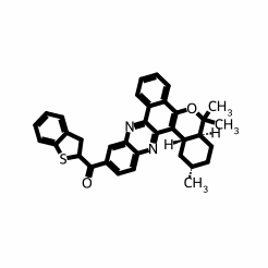 C[C@H]1CC[C@H]2[C@H](C1)c1c(c3ccccc3c3nc4cc(C(=O)C5Cc6ccccc6S5)ccc4nc13)OC2(C)C